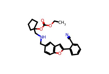 CCOC(=O)OC1(CNCc2ccc3oc(-c4ccccc4C#N)cc3c2)CCCC1